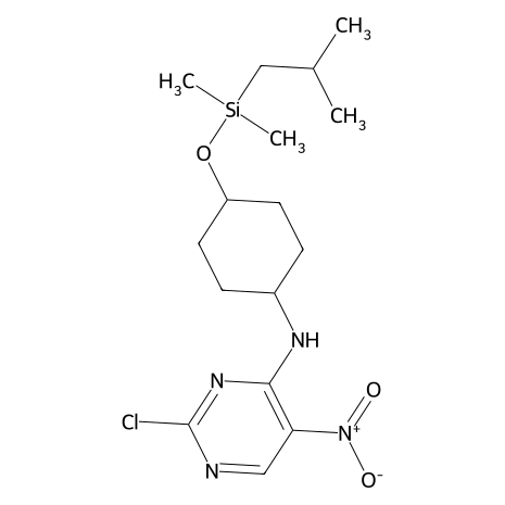 CC(C)C[Si](C)(C)OC1CCC(Nc2nc(Cl)ncc2[N+](=O)[O-])CC1